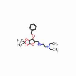 CCN(CC)CCNCC1OC2OC(C)(C)OC2C1OCc1ccccc1